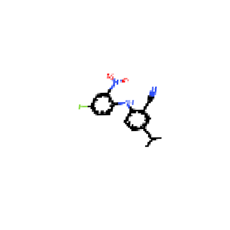 CC(C)c1ccc(Nc2ccc(F)cc2[N+](=O)[O-])c(C#N)c1